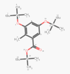 Cc1c(O[Si](C)(C)C(C)(C)C)cc(O[Si](C)(C)C(C)(C)C)cc1C(=O)O[Si](C)(C)C(C)(C)C